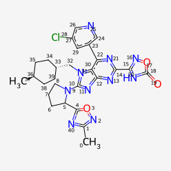 Cc1noc(C2CCCN2c2nc3nc(-c4noc(=O)[nH]4)nc(-c4cncc(Cl)c4)c3n2C[C@H]2CC[C@H](C)CC2)n1